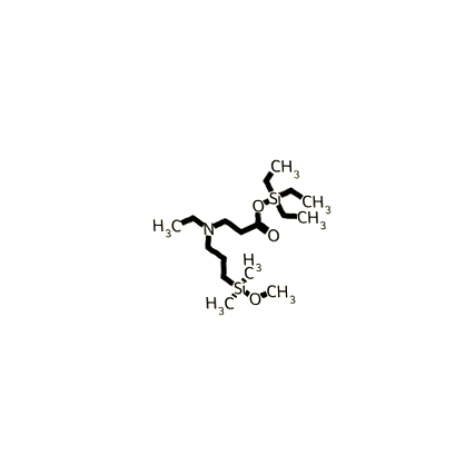 CCN(CCC[Si](C)(C)OC)CCC(=O)O[Si](CC)(CC)CC